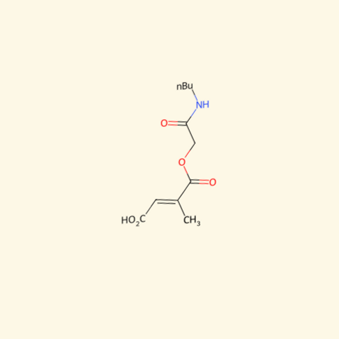 CCCCNC(=O)COC(=O)C(C)=CC(=O)O